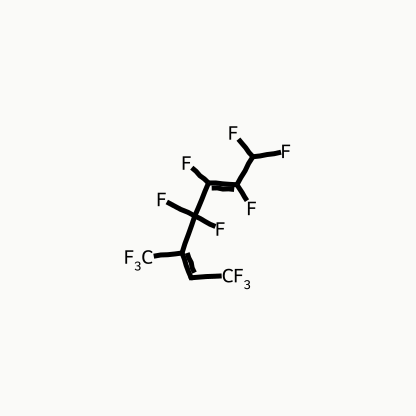 FC(=C(F)C(F)(F)C(=CC(F)(F)F)C(F)(F)F)C(F)F